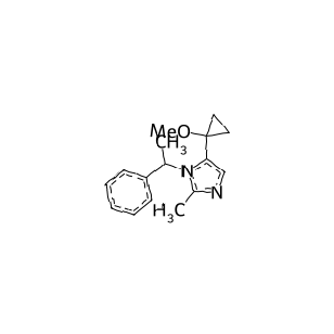 COC1(c2cnc(C)n2C(C)c2ccccc2)CC1